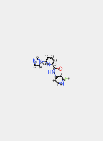 O=C(Nc1ccnc(F)c1)c1cccc(-n2ccnc2)n1